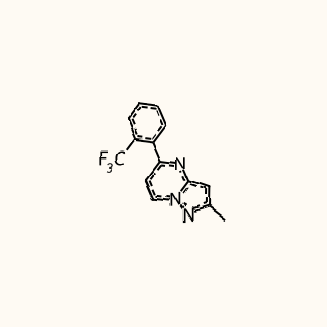 Cc1cc2nc(-c3ccccc3C(F)(F)F)ccn2n1